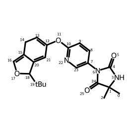 CC1(C)NC(=O)N(c2ccc(OC3=CCC4=COC(C(C)(C)C)C4=C3)nc2)C1=O